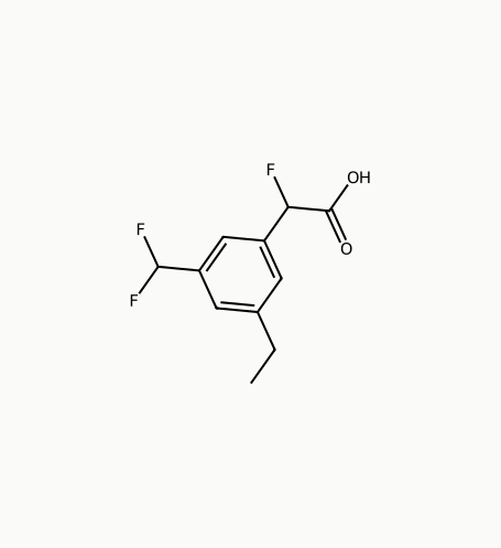 CCc1cc(C(F)F)cc(C(F)C(=O)O)c1